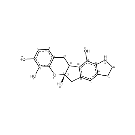 Oc1ccc2c(c1O)O[C@@]1(O)Cc3cc4c(c(O)c3C1C2)NCC4